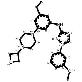 CCc1cc(Nc2ncn(-c3cccc(OC)c3)n2)cc(N2CCN(C3COC3)CC2)c1